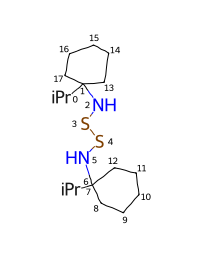 CC(C)C1(NSSNC2(C(C)C)CCCCC2)CCCCC1